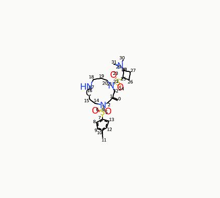 C=C1CN(S(=O)(=O)c2ccc(C)cc2)CCCNCCCN(S(=O)(=O)C2CC[C@@H]2N(C)C)C1